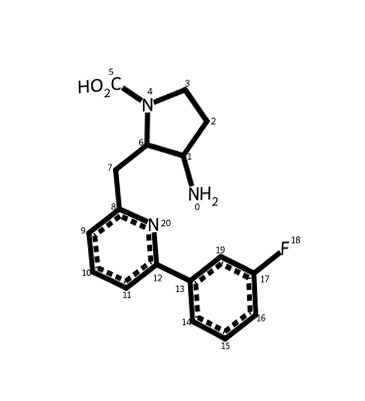 NC1CCN(C(=O)O)C1Cc1cccc(-c2cccc(F)c2)n1